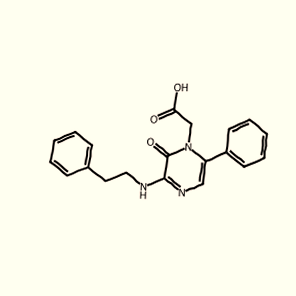 O=C(O)Cn1c(-c2ccccc2)cnc(NCCc2ccccc2)c1=O